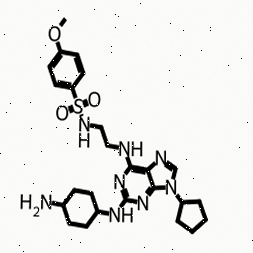 COc1ccc(S(=O)(=O)NCCNc2nc(NC3CCC(N)CC3)nc3c2ncn3C2CCCC2)cc1